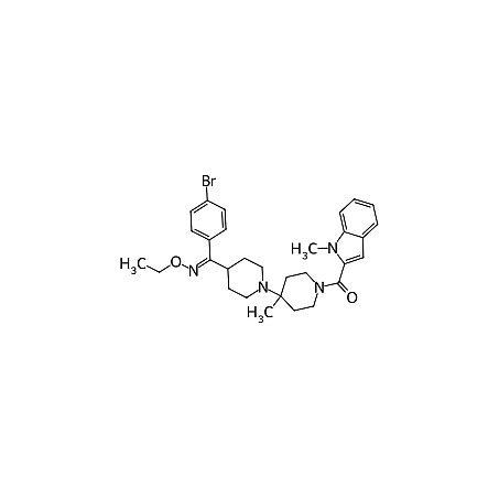 CCON=C(c1ccc(Br)cc1)C1CCN(C2(C)CCN(C(=O)c3cc4ccccc4n3C)CC2)CC1